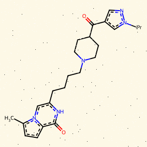 Cc1ccc2c(=O)[nH]c(CCCCN3CCC(C(=O)c4cnn(C(C)C)c4)CC3)cn12